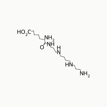 NCCCNCCCCNCCCNC(=O)C(N)CCCCC(=O)O